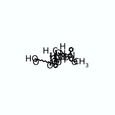 C=C[C@@H]1C[C@]1(NC(=O)[C@@H]1C[C@@H](Oc2cc(-c3ccccc3)nc3cc(OC)ccc23)CN1)C(=O)NS(=O)(=O)c1ccccc1NC(=O)CCCCCCCC(=O)O